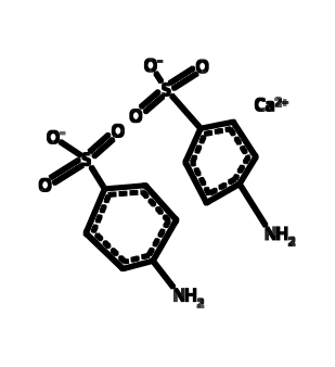 Nc1ccc(S(=O)(=O)[O-])cc1.Nc1ccc(S(=O)(=O)[O-])cc1.[Ca+2]